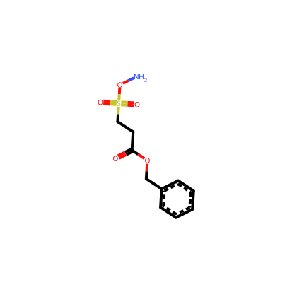 NOS(=O)(=O)CCC(=O)OCc1ccccc1